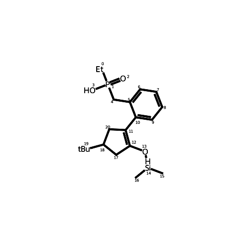 CCP(=O)(O)Cc1ccccc1C1=C(O[SiH](C)C)CC(C(C)(C)C)C1